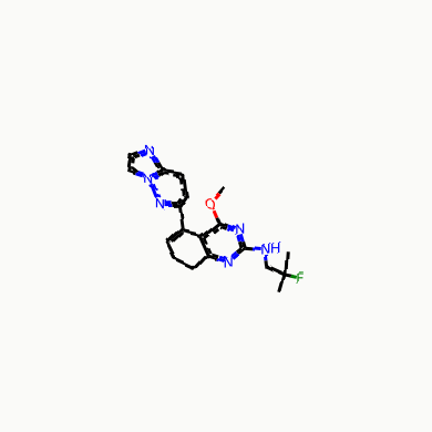 COc1nc(NCC(C)(C)F)nc2c1C(c1ccc3nccn3n1)=CCC2